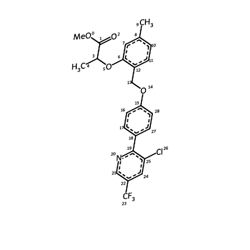 COC(=O)C(C)Oc1cc(C)ccc1COc1ccc(-c2ncc(C(F)(F)F)cc2Cl)cc1